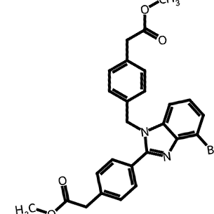 COC(=O)Cc1ccc(Cn2c(-c3ccc(CC(=O)OC)cc3)nc3c(Br)cccc32)cc1